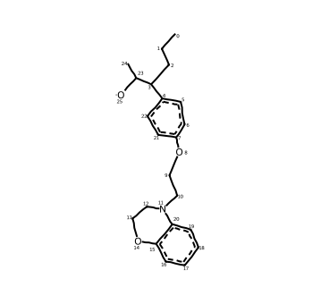 CCCC(c1ccc(OCCN2CCOc3ccccc32)cc1)C(C)[O]